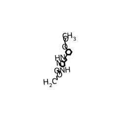 C=CCOC(=O)Nc1cnc2[nH]c(-c3cccc(OCCOC)c3)cc2c1